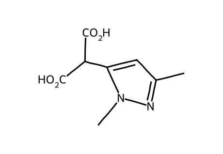 Cc1cc(C(C(=O)O)C(=O)O)n(C)n1